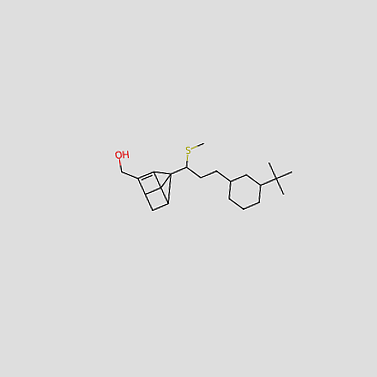 CSC(CCC1CCCC(C(C)(C)C)C1)C12C3=C(CO)C4CC1C342